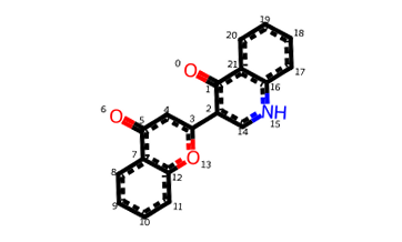 O=c1c(-c2cc(=O)c3ccccc3o2)c[nH]c2ccccc12